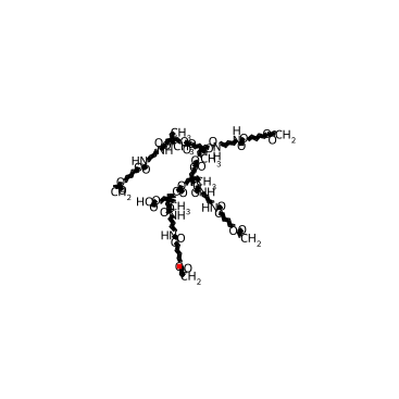 C=CC(=O)OCCCCCOC(=O)NCCCCNC(=O)OCC(CC)(CC)CCOC(=O)OCCC(CC)(CCOC(=O)OCCC(CC)(CCOC(=O)OCCC(CC)(CCOC(=O)O)COC(=O)NCCCCNC(=O)OCCCCCOC(=O)C=C)COC(=O)NCCCCNC(=O)OCCCCCOC(=O)C=C)COC(=O)NCCCCNC(=O)OCCCCCOC(=O)C=C